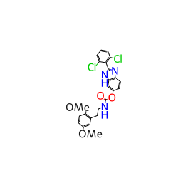 COc1ccc(OC)c(CCNC(=O)Oc2ccc3nc(-c4c(Cl)cccc4Cl)[nH]c3c2)c1